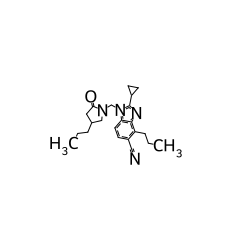 CCCc1c(C#N)ccc2c1nc(C1CC1)n2CN1CC(CCC)CC1=O